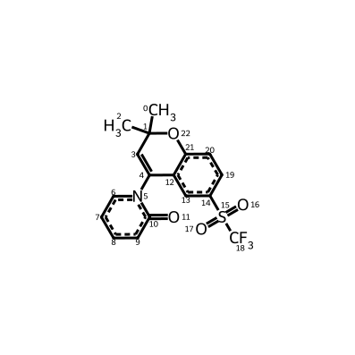 CC1(C)C=C(n2ccccc2=O)c2cc(S(=O)(=O)C(F)(F)F)ccc2O1